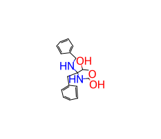 CC(O)C(Cc1ccccc1)(NCc1ccccc1)NC(=O)O